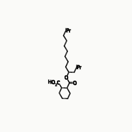 CC(C)CCCCCCCC(CC(C)C)OC(=O)C1CCCCC1C(=O)O